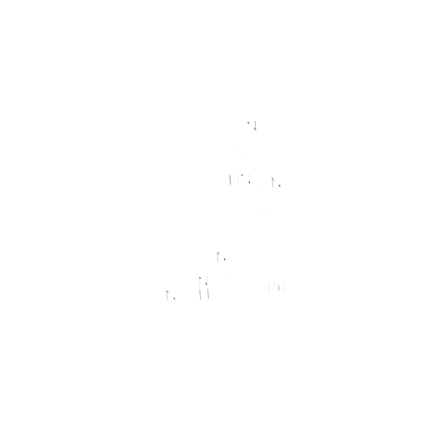 CN1CCCCC1CNc1cc(C(C)(C)C)c(CC(C)(C)c2ccnc(Nc3ccncc3)c2)cn1